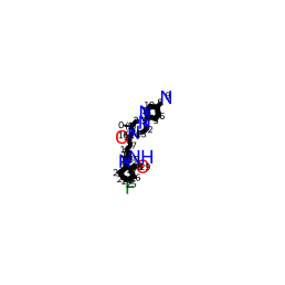 C[C@H]1CN(c2ccc(C#N)cn2)CCN1C(=O)CCc1nc2ccc(F)cc2c(=O)[nH]1